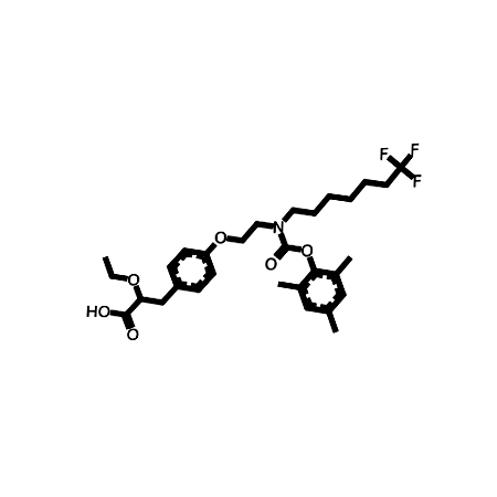 CCOC(Cc1ccc(OCCN(CCCCCCC(F)(F)F)C(=O)Oc2c(C)cc(C)cc2C)cc1)C(=O)O